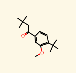 COc1cc(C(=O)CC(C)(C)C)ccc1C(C)(C)C